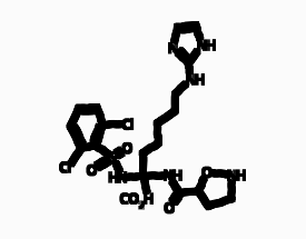 O=C(NC(CCCCCNc1ncc[nH]1)(NS(=O)(=O)c1c(Cl)cccc1Cl)C(=O)O)C1CCNO1